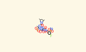 Cc1c(S(C)(=O)=O)n2c(=O)c(O)c(C(=O)NCc3ccc(F)cc3S(=O)(=O)N(C)C)nc2n1CC(=O)N1CC(C)CC(C)C1